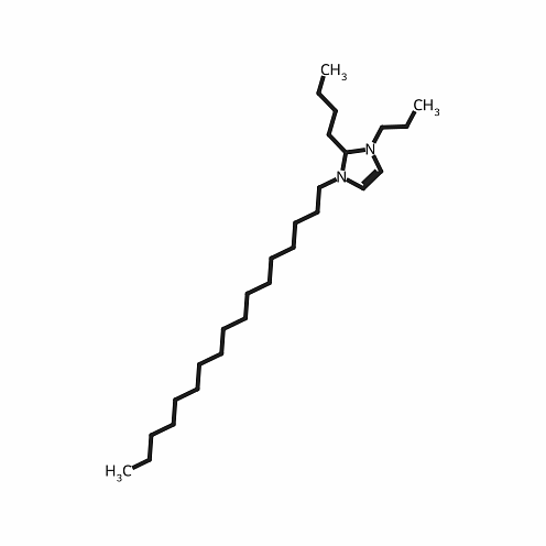 CCCCCCCCCCCCCCCCCN1C=CN(CCC)C1CCCC